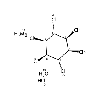 Cl.Cl[C@H]1[C@H](Cl)[C@@H](Cl)[C@@H](Cl)[C@H](Cl)[C@H]1Cl.O.[MgH2]